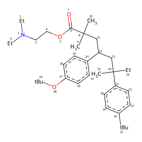 CCN(CC)CCOC(=O)C(C)(C)CC(CC(C)(CC)c1ccc(C(C)(C)C)cc1)c1ccc(OC(C)(C)C)cc1